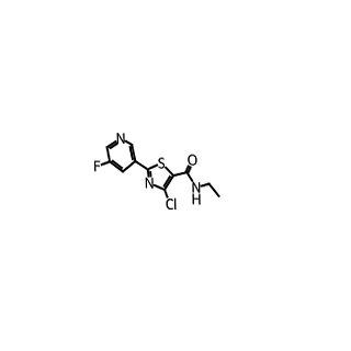 CCNC(=O)c1sc(-c2cncc(F)c2)nc1Cl